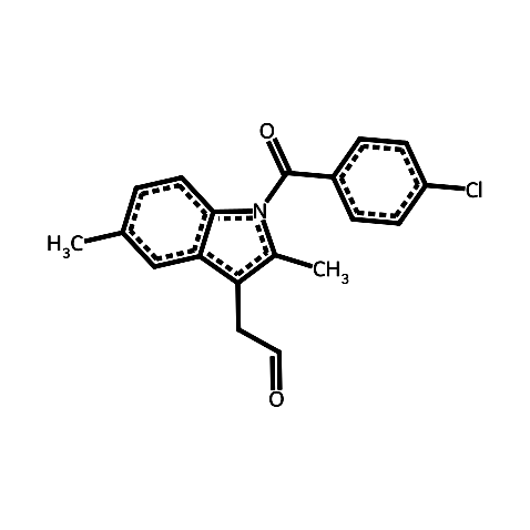 Cc1ccc2c(c1)c(CC=O)c(C)n2C(=O)c1ccc(Cl)cc1